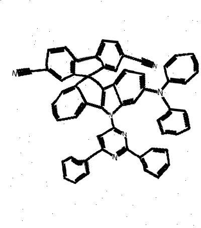 N#Cc1ccc2c(c1)C1(c3cc(C#N)ccc3-2)c2ccccc2-c2c1c1ccc(N(c3ccccc3)c3ccccc3)cc1n2-c1cc(-c2ccccc2)nc(-c2ccccc2)n1